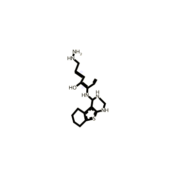 C=C/C(NC1NCNc2sc3c(c21)CCCC3)=C(O)\C=C\CNN